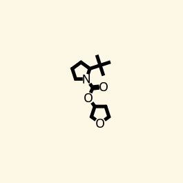 CC(C)(C)C1CCCN1C(=O)OC1CCOC1